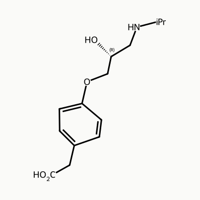 CC(C)NC[C@@H](O)COc1ccc(CC(=O)O)cc1